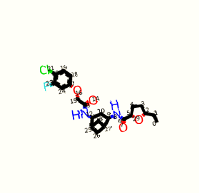 CCC1CCC(C(=O)NC2CC(NC(=O)COc3ccc(Cl)c(F)c3)C3CC2C3)O1